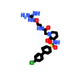 N=C(N)NOCCNC(=O)CN1CCC[C@H](NS(=O)(=O)c2ccc(-c3ccc(Cl)cc3)cc2)C1=O